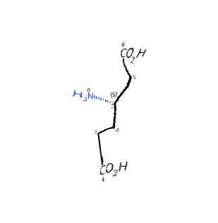 N[C@@H](CCC(=O)O)CC(=O)O